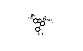 Cc1c(N)cccc1-c1ccc(C(N)=O)c2[nH]c3cc(NC(C)C)ccc3c12